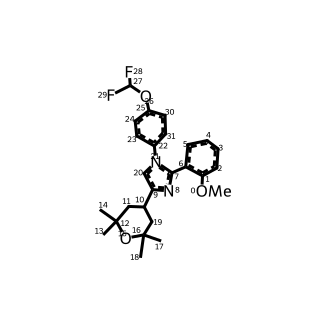 COc1ccccc1-c1nc(C2CC(C)(C)OC(C)(C)C2)cn1-c1ccc(OC(F)F)cc1